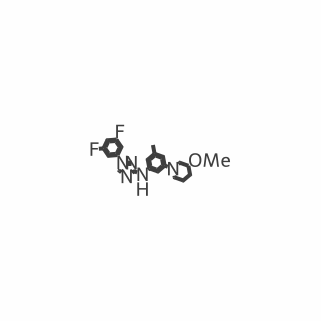 COC1CCCN(c2cc(C)cc(Nc3ncn(-c4cc(F)cc(F)c4)n3)c2)C1